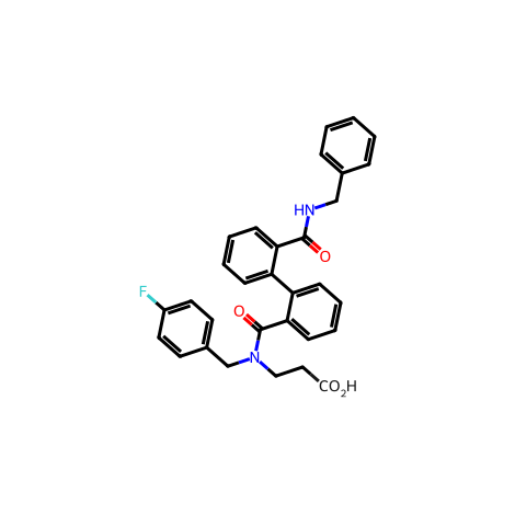 O=C(O)CCN(Cc1ccc(F)cc1)C(=O)c1ccccc1-c1ccccc1C(=O)NCc1ccccc1